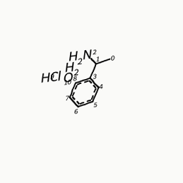 CC(N)c1ccccc1.Cl.O